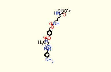 CNC(=O)C(CCCCNC(=O)OCc1ccc(OC(=O)N(C)Cc2nnc(-c3ccc(N)cc3)nn2)cc1)NC=O